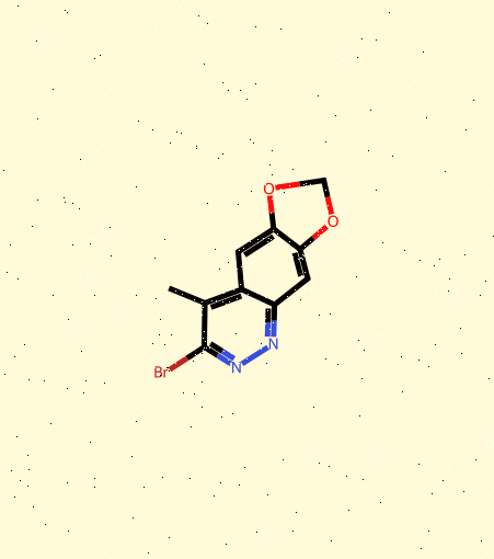 Cc1c(Br)nnc2cc3c(cc12)OCO3